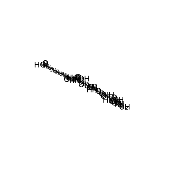 CN[C@@H](CCCCNC(=O)COCCOCCNC(=O)COCCOCCCC(=O)CCC(NC(=O)C1CCC(CNC(=O)CCCCCCCCCCCCCCCCCCC(=O)O)CC1)C(=O)O)C(=O)CN[C@@H](Cc1ccc(O)cc1)C(N)=O